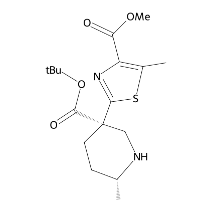 COC(=O)c1nc([C@]2(C(=O)OC(C)(C)C)CC[C@@H](C)NC2)sc1C